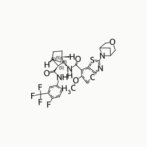 COc1ccc2nc(N3C4COCC3C4)sc2c1C(=O)N[C@@H]1[C@H]2CC[C@H](C2)[C@@H]1C(=O)Nc1ccc(F)c(C(F)(F)F)c1